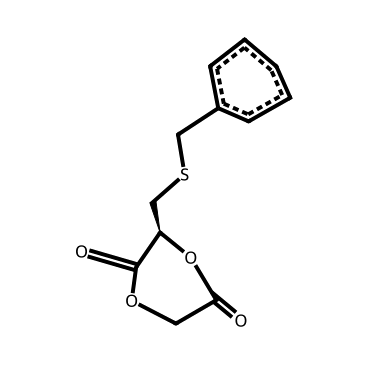 O=C1COC(=O)[C@@H](CSCc2ccccc2)O1